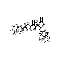 Cc1c(Nc2cc[nH]c(=O)c2C(=O)Nc2ccc(N3CCN4C(=O)CCCC4C3)cc2)cnc2c1NCCO2